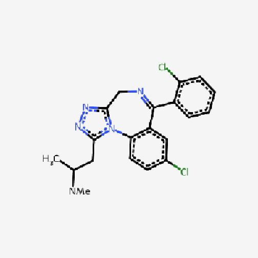 CNC(C)Cc1nnc2n1-c1ccc(Cl)cc1C(c1ccccc1Cl)=NC2